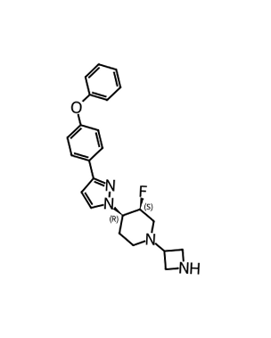 F[C@H]1CN(C2CNC2)CC[C@H]1n1ccc(-c2ccc(Oc3ccccc3)cc2)n1